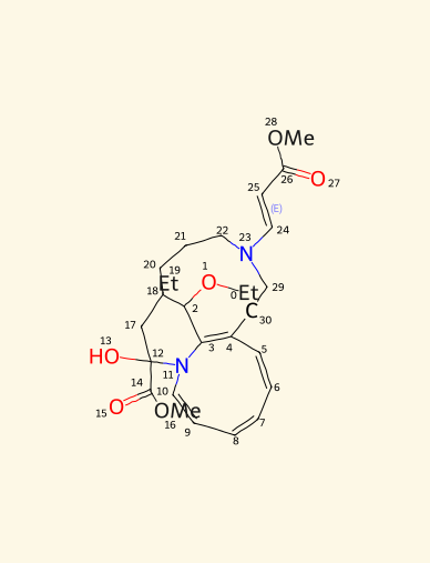 CCOC1c2c3ccccccn2C(O)(C(=O)OC)CC1(CC)CCCN(/C=C/C(=O)OC)CC3